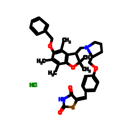 Cc1c(C)c2c(c(C)c1OCc1ccccc1)C(CN1CCC[C@H]1COc1ccc(C=C3SC(=O)NC3=O)cc1)C(C)(C)O2.Cl